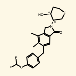 Cc1c(Cc2ccc(OC(F)F)cc2)cc2c(c1C)CN([C@H]1COCC[C@@H]1O)C2=O